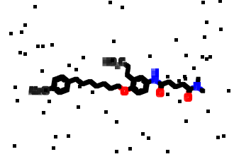 COc1ccc(CCCCCCCOc2ccc(NC(=O)CCCC(=O)N(C)C)cc2CCC(=O)O)cc1